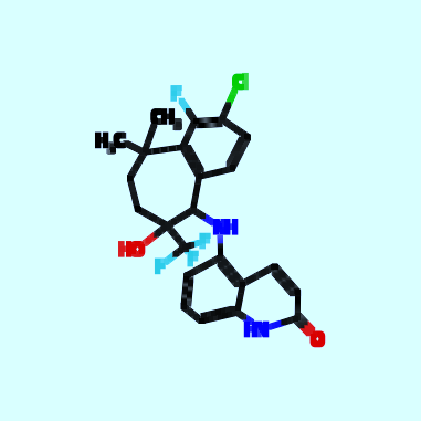 CC1(C)CCC(O)(C(F)(F)F)C(Nc2cccc3[nH]c(=O)ccc23)c2ccc(Cl)c(F)c21